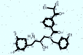 CCc1cccc(CN(C[C@@H](O)[C@@H](N)Cc2cc(F)cc(F)c2)C(=O)c2cccc(C(=O)C(CC)CC)c2)c1